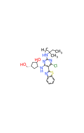 CCC(C)(C)Nc1nc(Cl)c(-c2nc3ccccc3s2)c(N[C@@H]2C[C@H](CO)C[C@H]2O)n1